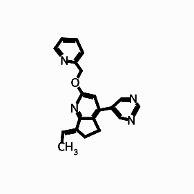 CC=C1CCc2c(-c3cncnc3)cc(OCc3ccccn3)nc21